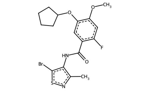 COc1cc(F)c(C(=O)Nc2c(C)nsc2Br)cc1OC1CCCC1